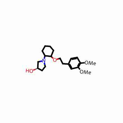 COc1cc(CCOC2CCCCC2N2CC[C@@H](O)C2)ccc1O[13CH3]